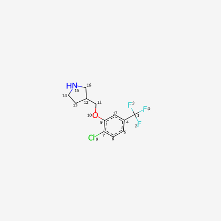 FC(F)(F)c1ccc(Cl)c(OCC2CCNC2)c1